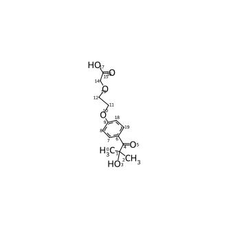 CC(C)(O)C(=O)c1ccc(OCCOCC(=O)O)cc1